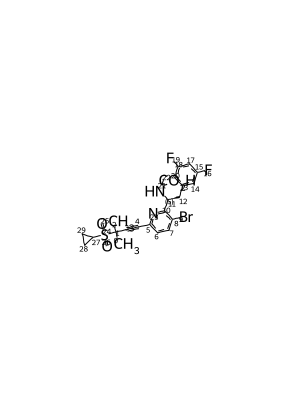 CC(C)(C#Cc1ccc(Br)c([C@H](Cc2cc(F)cc(F)c2)NC(=O)O)n1)S(=O)(=O)C1CC1